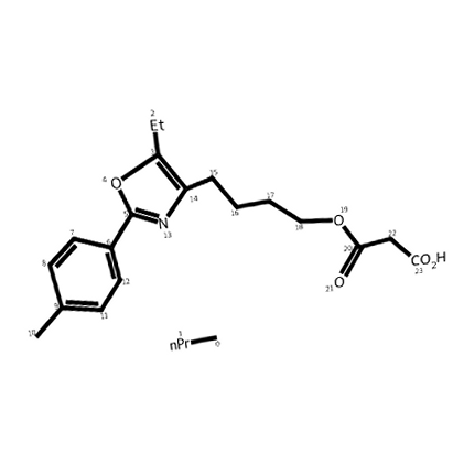 CCCC.CCc1oc(-c2ccc(C)cc2)nc1CCCCOC(=O)CC(=O)O